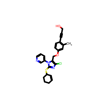 Cc1cc(OCc2c(Cl)nc(SC3C=CCCC3)n2-c2cccnc2)ccc1C#CCO